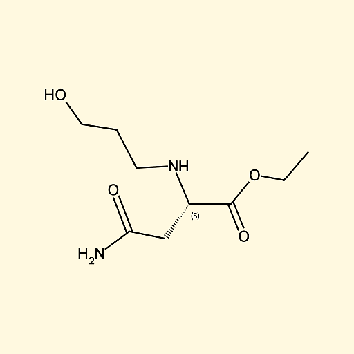 CCOC(=O)[C@H](CC(N)=O)NCCCO